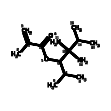 C=C(C)C(=O)OC(C(C)C)C(N)(N)C(C)C